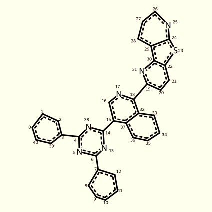 c1ccc(-c2nc(-c3ccccc3)nc(-c3cnc(-c4ccc5sc6ncccc6c5n4)c4ccccc34)n2)cc1